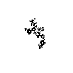 CN(CC(=O)O[C@H]1C[C@H](CN2CCC(c3cnc(Cc4ccc(C(F)(F)F)cc4)s3)CC2)[C@@H](c2cccc(F)c2)C1)C(C)(C)C.Cl.Cl.Cl